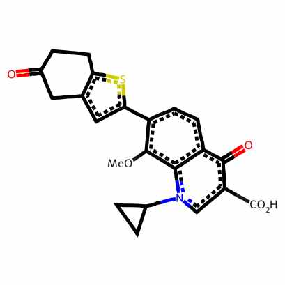 COc1c(-c2cc3c(s2)CCC(=O)C3)ccc2c(=O)c(C(=O)O)cn(C3CC3)c12